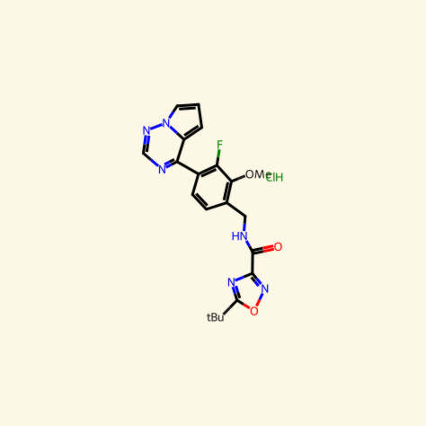 COc1c(CNC(=O)c2noc(C(C)(C)C)n2)ccc(-c2ncnn3cccc23)c1F.Cl